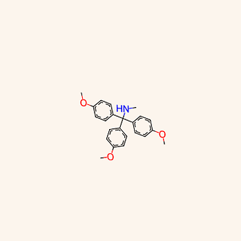 CNC(c1ccc(OC)cc1)(c1ccc(OC)cc1)c1ccc(OC)cc1